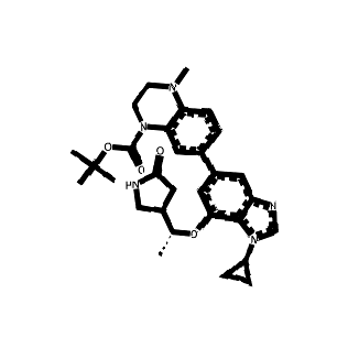 C[C@@H](Oc1cc(-c2ccc3c(c2)N(C(=O)OC(C)(C)C)CCN3C)cc2ncn(C3CC3)c12)C1CNC(=O)C1